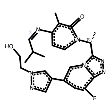 Cc1c(/N=C\C(C)C)ccn([C@H](C)c2nnc3c(F)cc(-c4cnn(CCO)c4)cn23)c1=O